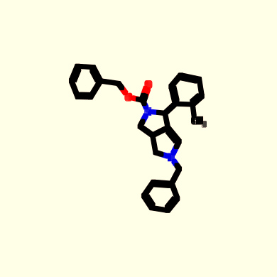 Cc1ccccc1C1C2=CN(Cc3ccccc3)CC2CN1C(=O)OCc1ccccc1